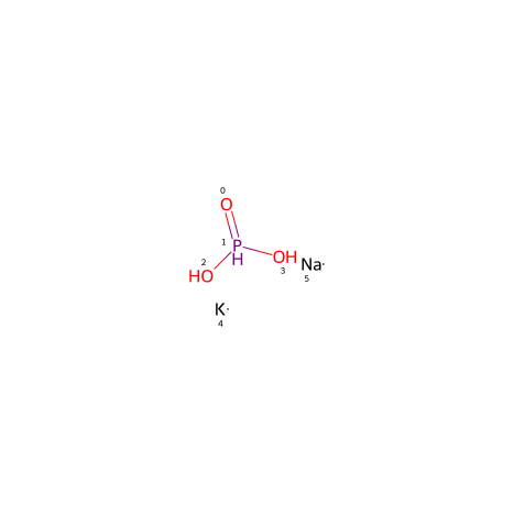 O=[PH](O)O.[K].[Na]